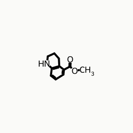 COC(=O)c1cccc2c1CCCN2